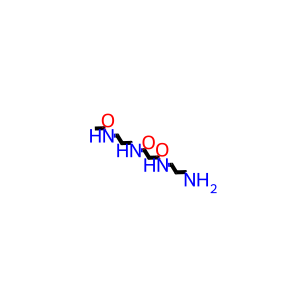 CC(=O)NCCCNC(=O)CC(=O)NCCCN